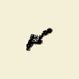 COc1ccc(CN(CCOP(=O)(O)O)C(=O)CCCCc2cccc(CCCCCc3ccc(-c4ccccc4)cc3)c2)cc1